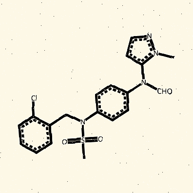 Cn1nccc1N(C=O)c1ccc(N(Cc2ccccc2Cl)S(C)(=O)=O)cc1